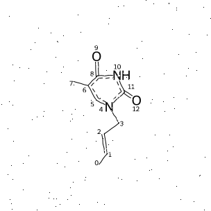 CC=CCn1cc(C)c(=O)[nH]c1=O